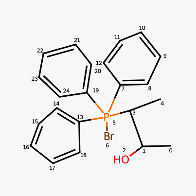 CC(O)C(C)P(Br)(c1ccccc1)(c1ccccc1)c1ccccc1